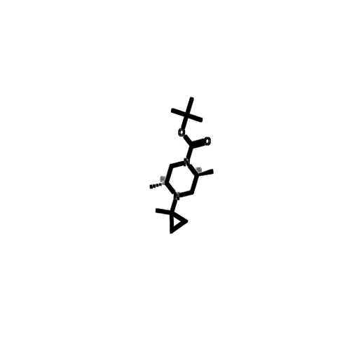 C[C@@H]1CN(C(=O)OC(C)(C)C)[C@@H](C)CN1C1(C)CC1